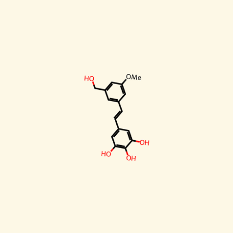 COc1cc(/C=C/c2cc(O)c(O)c(O)c2)cc(CO)c1